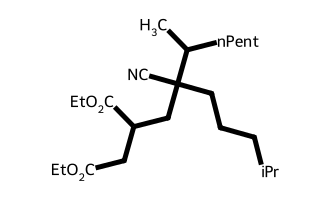 CCCCCC(C)C(C#N)(CCCC(C)C)CC(CC(=O)OCC)C(=O)OCC